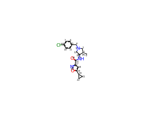 C[C@@H]1CN(Cc2ccc(Cl)cc2)C[C@@H]1NC(=O)c1cc(C2CC2)on1